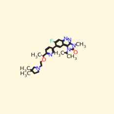 CC(C)n1c(=O)n(C)c2nnc3cc(F)c(-c4ccc([C@@H](C)OCCN5CCC(C)(C)C5)nc4)cc3c21